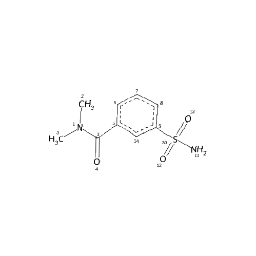 CN(C)C(=O)c1cccc(S(N)(=O)=O)c1